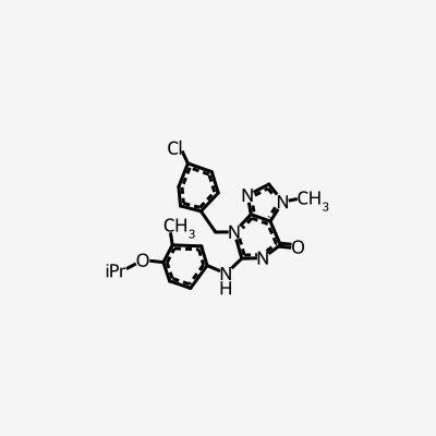 Cc1cc(Nc2nc(=O)c3c(ncn3C)n2Cc2ccc(Cl)cc2)ccc1OC(C)C